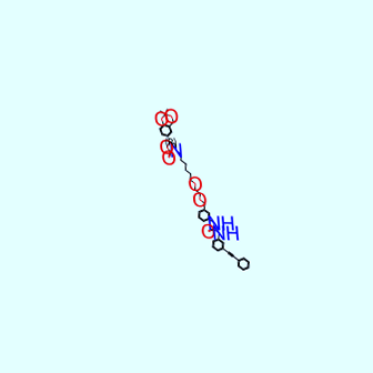 CC1(C)OCc2cc([C@@H]3CN(CCCCCCOCCOCc4cccc(NC(=O)Nc5cccc(C#Cc6ccccc6)c5)c4)C(=O)O3)ccc2O1